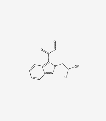 O=CC(=O)c1c2ccccc2cn1CC(O)Cl